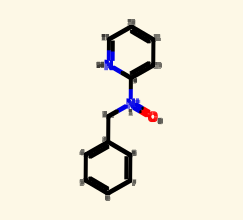 O=[N+]([CH]c1ccccc1)c1ccccn1